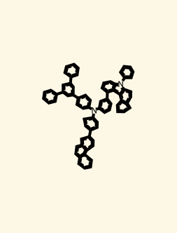 c1ccc(-c2cc(-c3ccccc3)cc(-c3ccc(N(c4ccc(-c5ccc6c(ccc7ccccc76)c5)cc4)c4cccc(-c5cccc6c5c5c7ccccc7ccc5n6-c5ccccc5)c4)cc3)c2)cc1